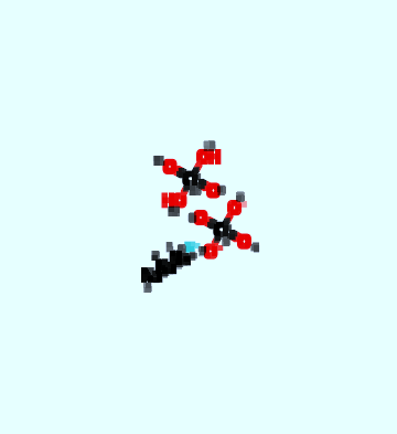 [F-].[Na+].[Na+].[Na+].[O]=[Cr](=[O])([O-])[O-].[O]=[Cr](=[O])([OH])[OH]